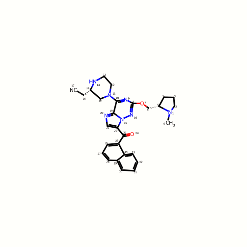 CN1CCC[C@H]1COc1nc(N2CCN[C@@H](CC#N)C2)c2ncc(C(=O)c3cccc4ccccc34)n2n1